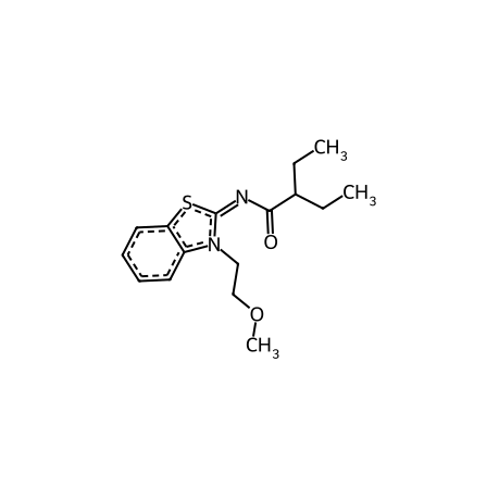 CCC(CC)C(=O)N=c1sc2ccccc2n1CCOC